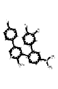 COc1ncc(-c2ccc(Cl)cc2)cc1-c1ccc(N(C)C)cc1-c1ccc(Cl)c(Cl)c1